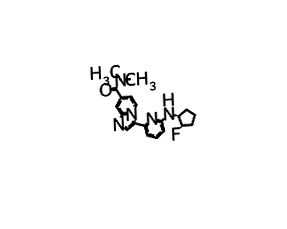 CN(C)C(=O)c1ccn2c(-c3cccc(N[C@H]4CCC[C@@H]4F)n3)cnc2c1